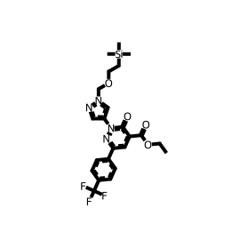 CCOC(=O)c1cc(-c2ccc(C(F)(F)F)cc2)nn(-c2cnn(COCC[Si](C)(C)C)c2)c1=O